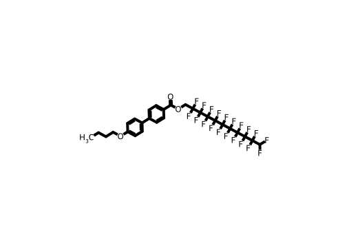 CCCCOc1ccc(-c2ccc(C(=O)OCC(F)(F)C(F)(F)C(F)(F)C(F)(F)C(F)(F)C(F)(F)C(F)(F)C(F)(F)C(F)(F)C(F)F)cc2)cc1